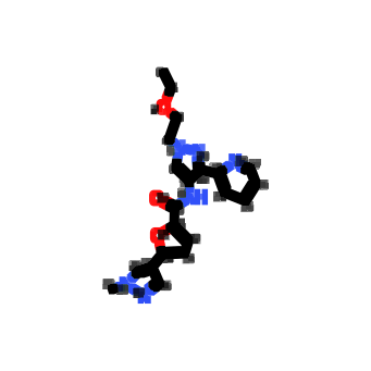 CCOCCn1cc(NC(=O)c2ccc(-c3cnn(C)c3)o2)c(-c2ccccn2)n1